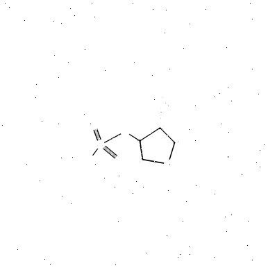 CS(=O)(=O)OC1COC[C@H]1C#N